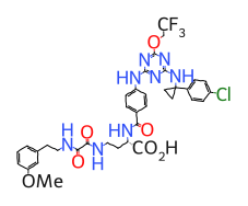 COc1cccc(CCNC(=O)C(=O)NCC[C@H](NC(=O)c2ccc(Nc3nc(NC4(c5ccc(Cl)cc5)CC4)nc(OCC(F)(F)F)n3)cc2)C(=O)O)c1